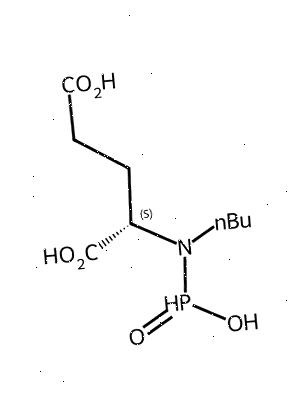 CCCCN([C@@H](CCC(=O)O)C(=O)O)[PH](=O)O